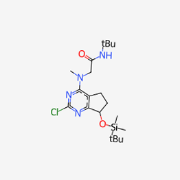 CN(CC(=O)NC(C)(C)C)c1nc(Cl)nc2c1CCC2O[Si](C)(C)C(C)(C)C